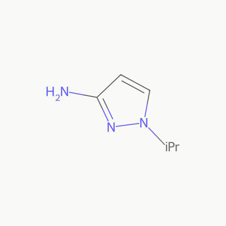 CC(C)n1ccc(N)n1